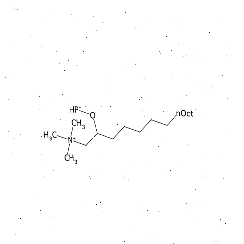 CCCCCCCCCCCCCC(C[N+](C)(C)C)O[PH-]